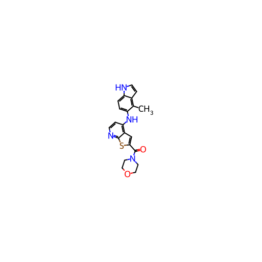 Cc1c(Nc2ccnc3sc(C(=O)N4CCOCC4)cc23)ccc2[nH]ccc12